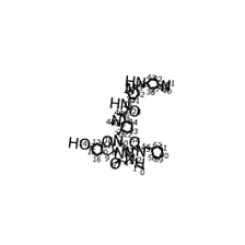 C=CCN1CC(=O)N2C(Cc3ccc(O)cc3)C(=O)N(Cc3cccc4c(C(=O)Nc5ccc(Nc6ccc(N(C)C)cc6)nc5)cn(C)c34)CC2N1C(=O)NCc1ccccc1